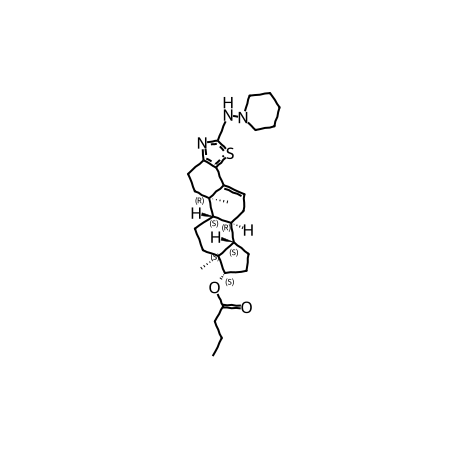 CCCC(=O)O[C@H]1CC[C@H]2[C@@H]3CC=C4c5sc(NN6CCCCC6)nc5CC[C@]4(C)[C@H]3CC[C@]12C